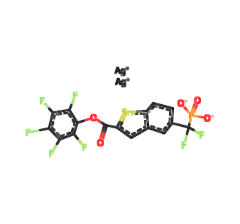 O=C(Oc1c(F)c(F)c(F)c(F)c1F)c1cc2cc(C(F)(F)P(=O)([O-])[O-])ccc2s1.[Ag+].[Ag+]